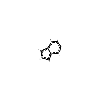 c1coc2cnnc-2n1